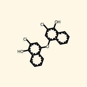 Oc1c(Cl)cc(Oc2cc(Cl)c(O)c3ccccc23)c2ccccc12